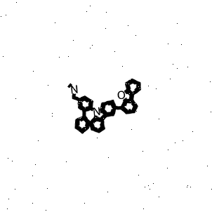 C=NCc1ccc(-n2c3ccccc3c3cc(-c4cccc5c4oc4ccccc45)ccc32)c(-c2ccccc2)c1